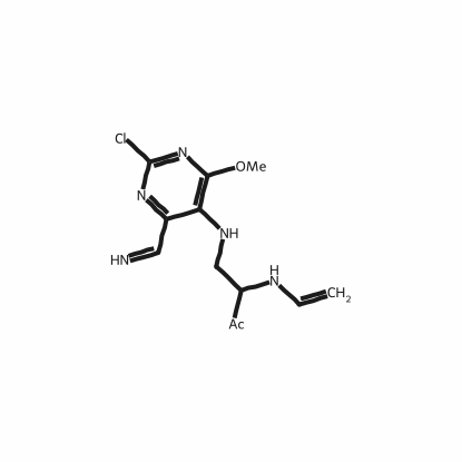 C=CNC(CNc1c(C=N)nc(Cl)nc1OC)C(C)=O